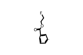 O=C(OCCF)c1c[c]ccc1